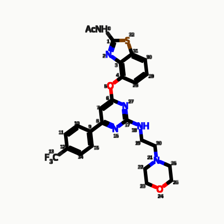 CC(=O)Nc1nc2c(Oc3cc(-c4ccc(C(F)(F)F)cc4)nc(NCCN4CCOCC4)n3)cccc2s1